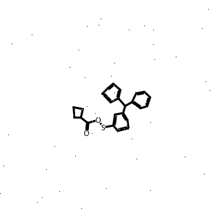 O=C(OSc1cccc(C(c2ccccc2)c2ccccc2)c1)C1CCC1